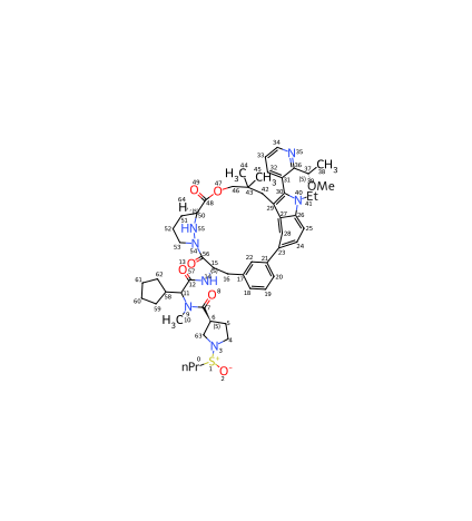 CCC[S+]([O-])N1CC[C@H](C(=O)N(C)C(C(=O)N[C@H]2Cc3cccc(c3)-c3ccc4c(c3)c(c(-c3cccnc3[C@H](C)OC)n4CC)CC(C)(C)COC(=O)[C@@H]3CCCN(N3)C2=O)C2CCCC2)C1